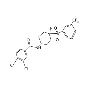 O=C(N[C@H]1CC[C@](F)(S(=O)(=O)c2cccc(C(F)(F)F)c2)CC1)c1ccc(Cl)c(Cl)c1